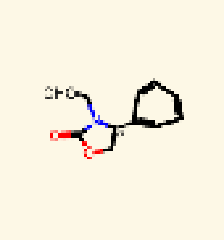 O=[C]CN1C(=O)OC[C@@H]1c1ccccc1